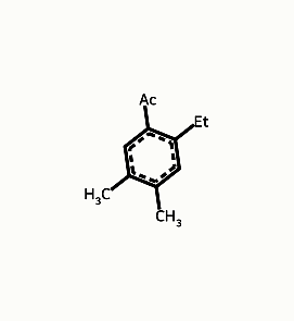 CCc1cc(C)c(C)cc1C(C)=O